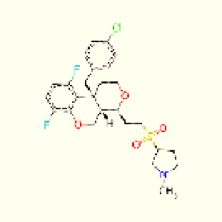 CN1CC[C@H](S(=O)(=O)CC[C@@H]2OCC[C@@]3(Cc4ccc(Cl)cc4)c4c(F)ccc(F)c4OC[C@@H]23)C1